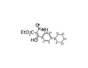 CCOC(=O)c1c(O)c2ccc(C3CCCCC3)cc2[nH]c1=O